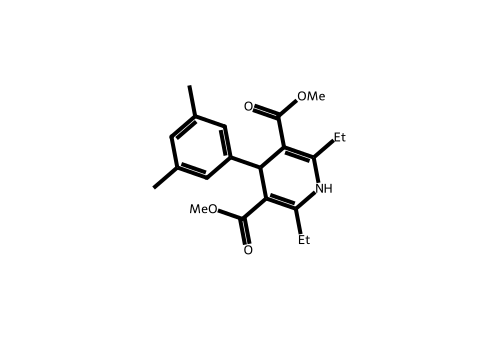 CCC1=C(C(=O)OC)C(c2cc(C)cc(C)c2)C(C(=O)OC)=C(CC)N1